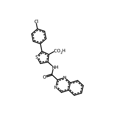 O=C(Nc1csc(-c2ccc(Cl)cc2)c1C(=O)O)c1ncc2ccccc2n1